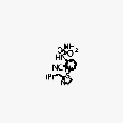 CC(C)CC1=NCC[SH]1c1cccc(NS(N)(=O)=O)c1C#N